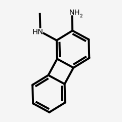 CNc1c(N)ccc2c1-c1ccccc1-2